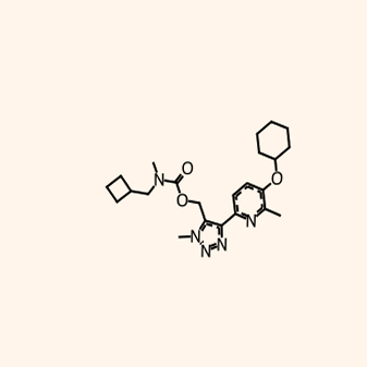 Cc1nc(-c2nnn(C)c2COC(=O)N(C)CC2CCC2)ccc1OC1CCCCC1